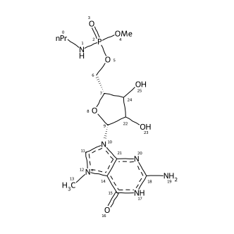 CCCNP(=O)(OC)OC[C@H]1O[C@@H](n2c[n+](C)c3c(=O)[nH]c(N)nc32)C(O)C1O